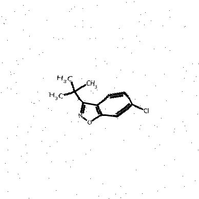 CC(C)(C)c1noc2cc(Cl)ccc12